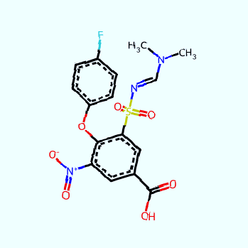 CN(C)C=NS(=O)(=O)c1cc(C(=O)O)cc([N+](=O)[O-])c1Oc1ccc(F)cc1